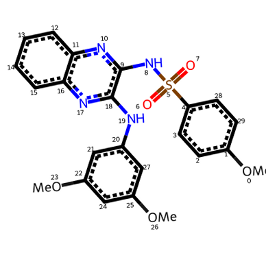 COc1ccc(S(=O)(=O)Nc2nc3ccccc3nc2Nc2cc(OC)cc(OC)c2)cc1